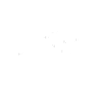 C#CC1CCP(=S)(N(C)C)N1C